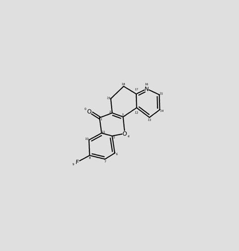 O=c1c2c(oc3ccc(F)cc13)-c1cccnc1CC2